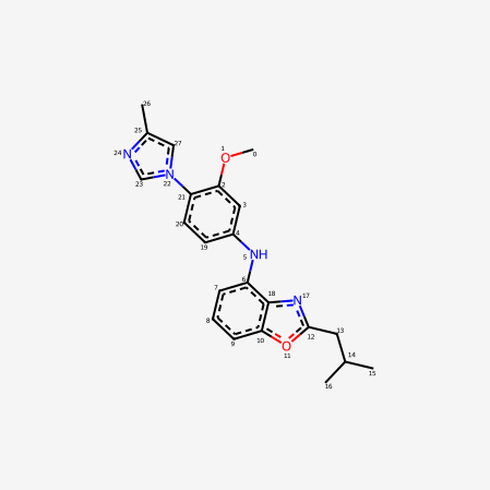 COc1cc(Nc2cccc3oc(CC(C)C)nc23)ccc1-n1cnc(C)c1